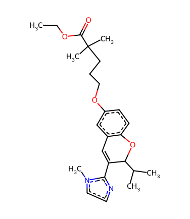 CCOC(=O)C(C)(C)CCCOc1ccc2c(c1)C=C(c1nccn1C)C(C(C)C)O2